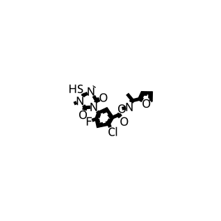 C/C(=N\OC(=O)c1cc(N2C(=O)N(C)C(S)N(C)C2=O)c(F)cc1Cl)c1ccco1